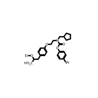 CCOC(Cc1ccc(OCCN(CC2CCCC2)C(=O)Oc2ccc(C(C)C)cc2)cc1)C(=O)O